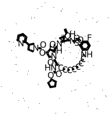 C=C[C@@H]1C[C@@]12NC(=O)[C@@H]1C[C@@H](OC(=O)N3CCC(c4ccccn4)C3)CN1C(=O)[C@@H](NC(=O)OC1CCCC1)CCCCCCCNc1ccc(F)cc1S(=O)(=O)NC2=O